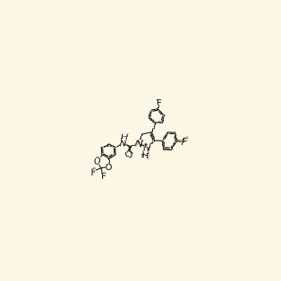 O=C(Nc1ccc2c(c1)OC(F)(F)O2)N1CC(c2ccc(F)cc2)=C(c2ccc(F)cc2)N1